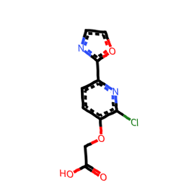 O=C(O)COc1ccc(-c2ncco2)nc1Cl